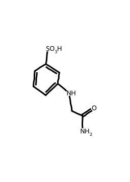 NC(=O)CNc1cccc(S(=O)(=O)O)c1